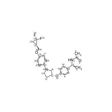 CC(=O)N[C@@H](C)c1ccc(O[C@@H]2CCN(c3ncc(OC[C@H]4CC4(F)F)cn3)C2)cc1